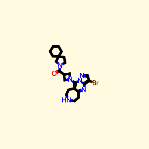 O=C(C1CN(c2c3c(nc4c(Br)cnn24)CCNCC3)C1)N1CCC2(CCCCC2)C1